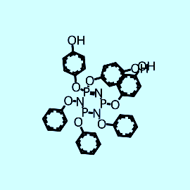 Oc1ccc(OP2N=P(Oc3ccc(O)cc3)(Oc3ccc(O)cc3)N(Oc3ccccc3)P(Oc3ccccc3)N2Oc2ccccc2)cc1